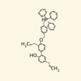 C=CCc1ccc(O)c(-c2ccc(OCc3ccc(C[PH](c4ccccc4)(c4ccccc4)c4ccccc4)cc3)c(CC=C)c2)c1